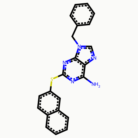 Nc1nc(Sc2ccc3ccccc3c2)nc2c1ncn2Cc1ccccc1